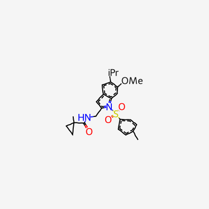 COc1cc2c(cc1C(C)C)cc(CNC(=O)C1(C)CC1)n2S(=O)(=O)c1ccc(C)cc1